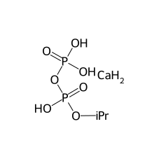 CC(C)OP(=O)(O)OP(=O)(O)O.[CaH2]